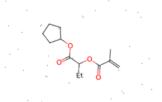 C=C(C)C(=O)OC(CC)C(=O)OC1CCCC1